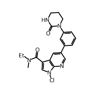 CCN(C)C(=O)c1cn(Cl)c2ncc(-c3cccc(N4CCCNC4=O)c3)cc12